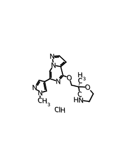 Cl.Cn1cc(-c2cn3nccc3c(OC[C@]3(C)CNCCO3)n2)cn1